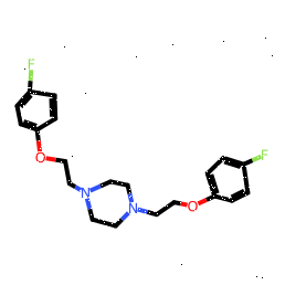 Fc1ccc(OCCN2CCN(CCOc3ccc(F)cc3)CC2)cc1